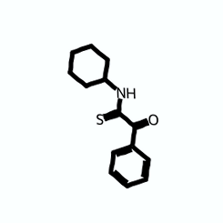 O=C(C(=S)NC1CCCCC1)c1ccccc1